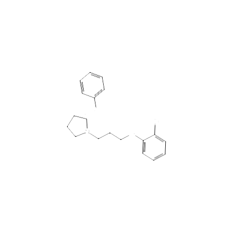 CCc1ccccc1OCCCN1CCC[C@@H]1Oc1ccccc1